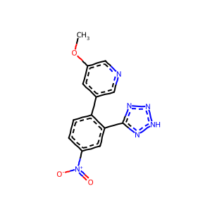 COc1cncc(-c2ccc([N+](=O)[O-])cc2-c2nn[nH]n2)c1